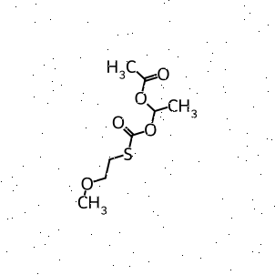 COCCSC(=O)OC(C)OC(C)=O